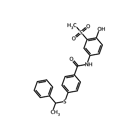 CC(Sc1ccc(C(=O)Nc2ccc(O)c(S(C)(=O)=O)c2)cc1)c1ccccc1